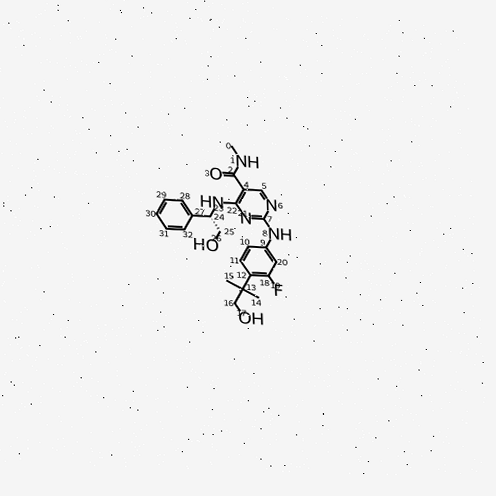 CNC(=O)c1cnc(Nc2ccc(C(C)(C)CO)c(F)c2)nc1N[C@H](CO)c1ccccc1